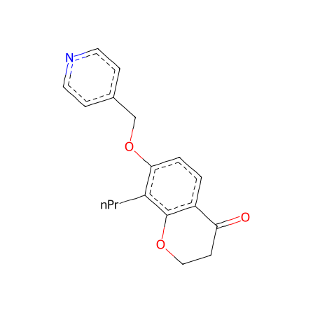 CCCc1c(OCc2ccncc2)ccc2c1OCCC2=O